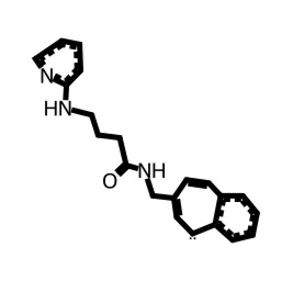 O=C(CCCNc1ccccn1)NCC1=C[C]c2ccccc2C=C1